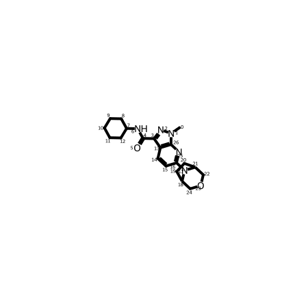 Cn1nc(C(=O)NC2CCCCC2)c2ccc(N3C4CCC3COC4)nc21